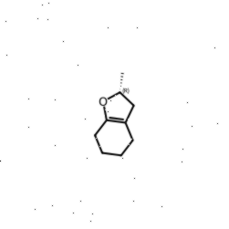 C[C@@H]1CC2=C(CCCC2)O1